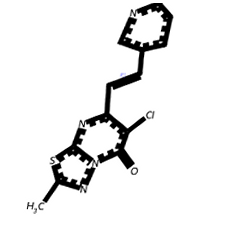 Cc1nn2c(=O)c(Cl)c(/C=C/c3cccnc3)nc2s1